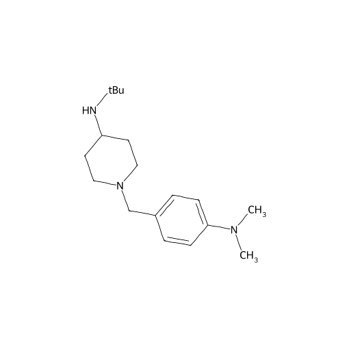 CN(C)c1ccc(CN2CCC(NC(C)(C)C)CC2)cc1